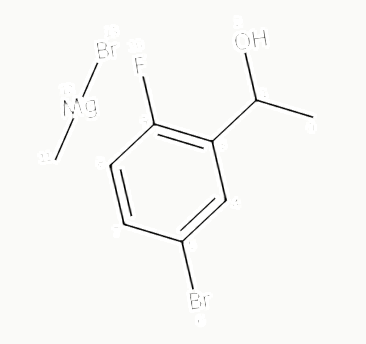 CC(O)c1cc(Br)ccc1F.[CH3][Mg][Br]